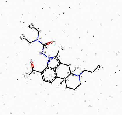 CCCN1CCC[C@@H]2c3ccc(C(C)=O)c4c3c(c(C)n4NC(=O)N(CC)CC)C[C@H]21